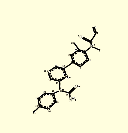 C=CC(=O)N(C)c1ccc(-c2cncc(N(C(N)=O)c3ccc(C)nc3)n2)cc1C